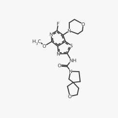 COc1nc(F)c(N2CCOCC2)c2sc(NC(=O)N3CCC4(CCOC4)C3)nc12